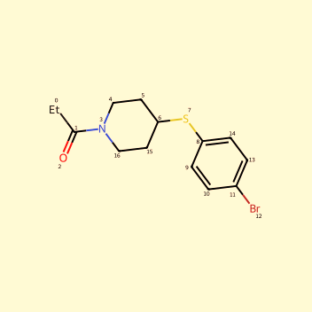 CCC(=O)N1CCC(Sc2ccc(Br)cc2)CC1